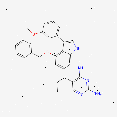 CCC(c1cc(OCc2ccccc2)c2c(-c3cccc(OC)c3)c[nH]c2c1)c1cnc(N)nc1N